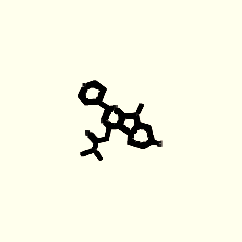 CN(C)C(=O)Cc1nc(-c2ccncc2)nc2c1c1ccc(Cl)cc1n2C